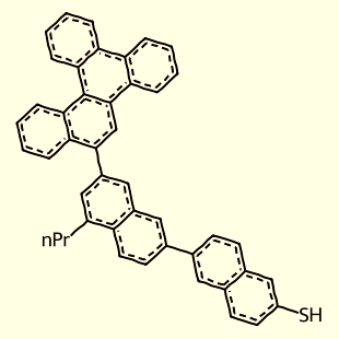 CCCc1cc(-c2cc3c4ccccc4c4ccccc4c3c3ccccc23)cc2cc(-c3ccc4cc(S)ccc4c3)ccc12